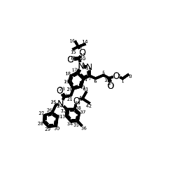 CCOC(=O)CCc1nn(C(=O)OC(C)(C)C)c2ccc(CC(=O)N(Cc3ccccc3)c3ccc(C)cc3OC(C)C)cc12